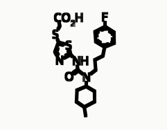 CC1CCC(N(CCCc2ccc(F)cc2)C(=O)Nc2ncc(SCC(=O)O)s2)CC1